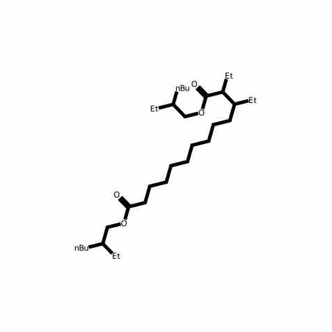 CCCCC(CC)COC(=O)CCCCCCCCCC(CC)C(CC)C(=O)OCC(CC)CCCC